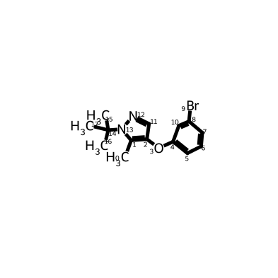 Cc1c(Oc2cccc(Br)c2)cnn1C(C)(C)C